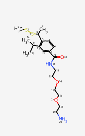 CSSC(C)c1ccc(C(=O)NCCOCCOCCN)cc1C(C)C